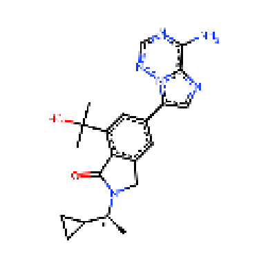 C[C@@H](C1CC1)N1Cc2cc(-c3cnc4c(N)ncnn34)cc(C(C)(C)O)c2C1=O